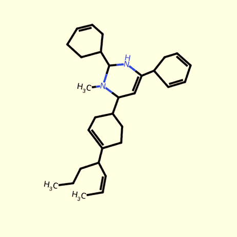 C/C=C\C(CCC)C1=CCC(C2C=C(C3C=CC=CC3)NC(C3CC=CCC3)N2C)CC1